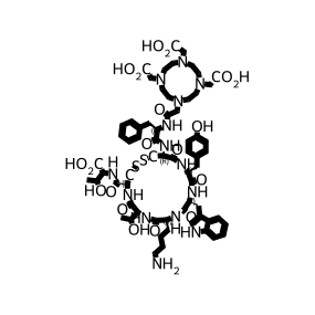 CC(O)C(NC(=O)[C@@H]1CSSC[C@H](NC(=O)[C@@H](Cc2ccccc2)NC(=O)CN2CCN(CC(=O)O)CCN(CC(=O)O)CCN(CC(=O)O)CC2)C(=O)N[C@@H](Cc2ccc(O)cc2)C(=O)N[C@H](Cc2c[nH]c3ccccc23)C(=O)N[C@@H](CCCCN)C(=O)NC(C(C)O)C(=O)N1)C(=O)O